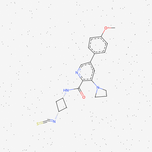 COc1ccc(-c2cnc(C(=O)N[C@H]3C[C@@H](N=C=S)C3)c(N3CCC3)c2)cc1